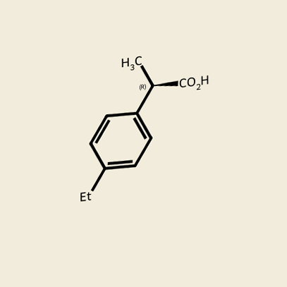 CCc1ccc([C@@H](C)C(=O)O)cc1